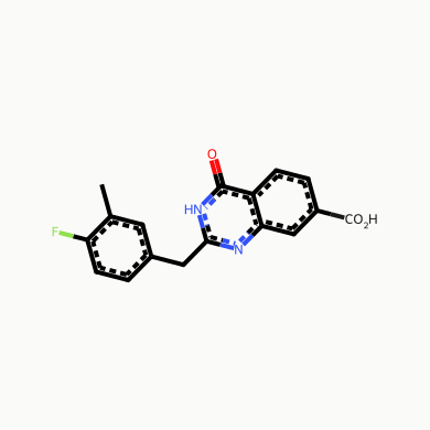 Cc1cc(Cc2nc3cc(C(=O)O)ccc3c(=O)[nH]2)ccc1F